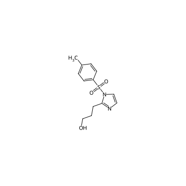 Cc1ccc(S(=O)(=O)n2ccnc2CCCO)cc1